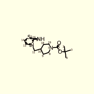 CC(C)(C)OC(=O)N1CCC(Cn2ccsc2=N)CC1